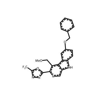 COCc1c(-c2nnc(C(F)(F)F)o2)ncc2[nH]c3ccc(OCc4ccccc4)cc3c12